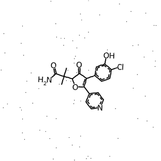 CC(C)(C(N)=O)C1OC(c2ccncc2)=C(c2ccc(Cl)c(O)c2)C1=O